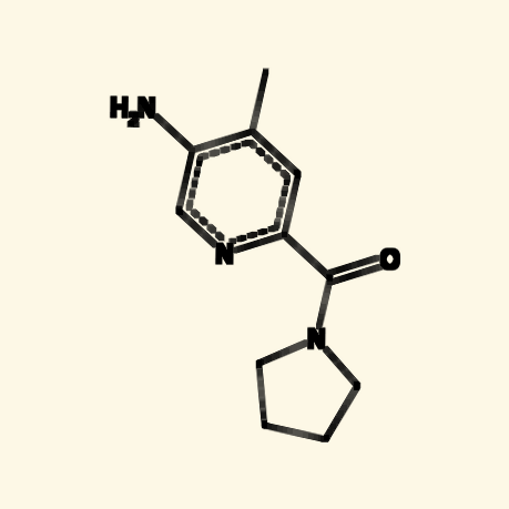 Cc1cc(C(=O)N2CCCC2)ncc1N